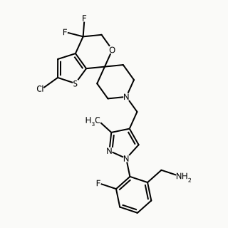 Cc1nn(-c2c(F)cccc2CN)cc1CN1CCC2(CC1)OCC(F)(F)c1cc(Cl)sc12